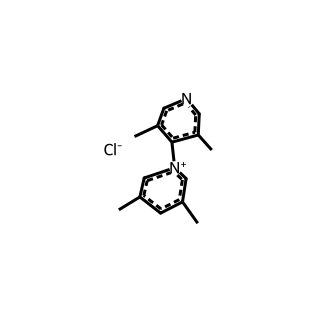 Cc1cc(C)c[n+](-c2c(C)cncc2C)c1.[Cl-]